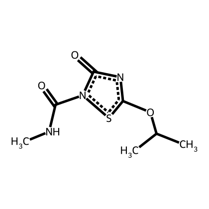 CNC(=O)n1sc(OC(C)C)nc1=O